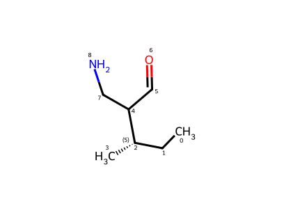 CC[C@H](C)C(C=O)CN